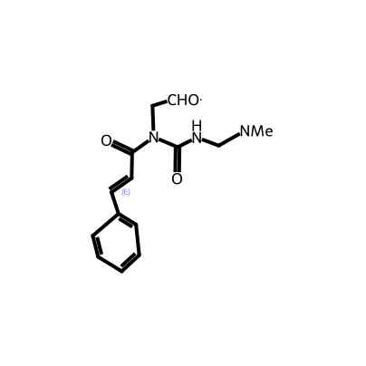 CNCNC(=O)N(C[C]=O)C(=O)/C=C/c1ccccc1